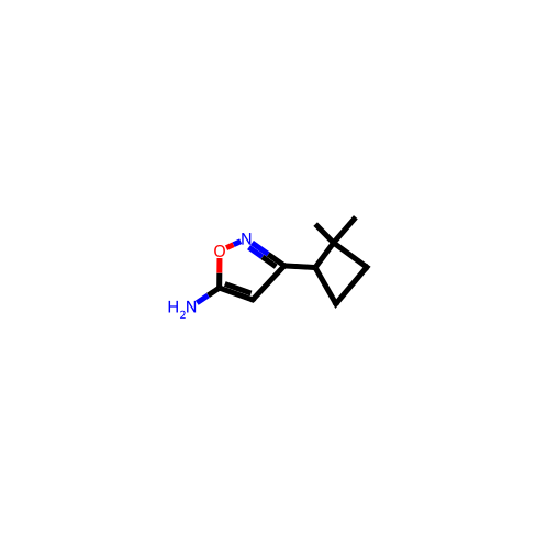 CC1(C)CCC1c1cc(N)on1